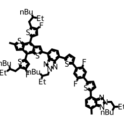 CCCCC(CC)Cc1sc(-c2c3cc(-c4ccc(-c5ccc(-c6cc(F)c(-c7ccc(-c8ccc(C)c9nn(CC(CC)CCCC)nc89)s7)cc6F)s5)c5nn(CC(CC)CCCC)nc45)sc3c(-c3cc(F)c(CC(CC)CCCC)s3)c3cc(C)sc23)cc1F